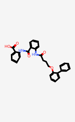 O=C(CCCOc1ccccc1-c1ccccc1)Nc1ccccc1C(=O)Nc1ccccc1C(=O)O